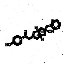 O=C(CN1C[C@@H]2C[C@@](O)(Cc3ccccn3)C[C@@H]2C1)c1ccc(O)cc1